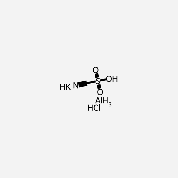 Cl.N#CS(=O)(=O)O.[AlH3].[KH]